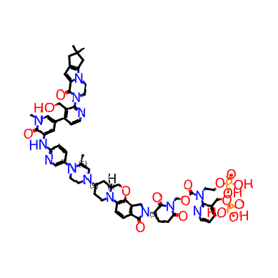 C[C@H]1CN([C@H]2CCN3c4ccc5c(c4OC[C@H]3C2)CN([C@H]2CCC(=O)N(COC(=O)N(CCOP(=O)(O)O)c3ncccc3COP(=O)(O)O)C2=O)C5=O)CCN1c1ccc(Nc2cc(-c3ccnc(N4CCn5c(cc6c5CC(C)(C)C6)C4=O)c3CO)cn(C)c2=O)nc1